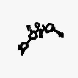 Cn1cc(-c2ccc(C(=O)NC3(C)CCN(C#N)C3)c(F)c2)cn1